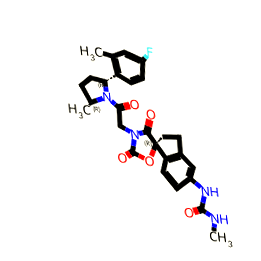 CNC(=O)Nc1ccc2c(c1)CC[C@@]21OC(=O)N(CC(=O)N2[C@H](C)CC[C@@H]2c2ccc(F)cc2C)C1=O